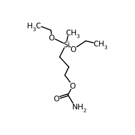 CCO[Si](C)(CCCOC(N)=O)OCC